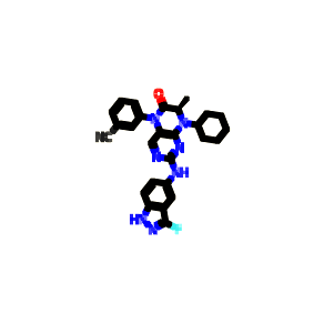 C[C@@H]1C(=O)N(c2cccc(C#N)c2)c2cnc(Nc3ccc4[nH]nc(F)c4c3)nc2N1C1CCCCC1